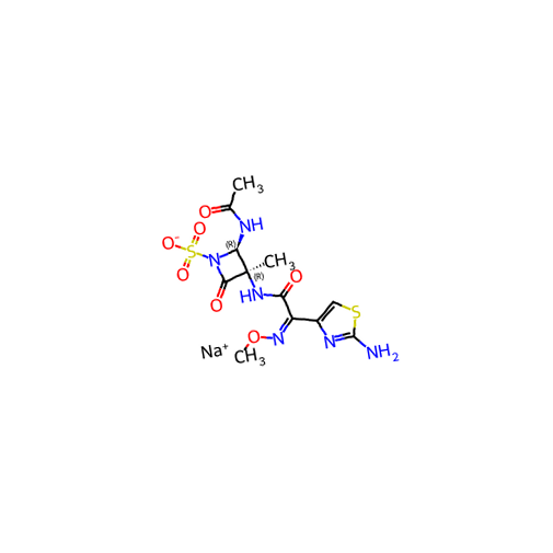 CON=C(C(=O)N[C@@]1(C)C(=O)N(S(=O)(=O)[O-])[C@H]1NC(C)=O)c1csc(N)n1.[Na+]